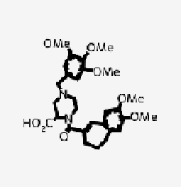 COc1cc2c(cc1OC)CCCC(C(=O)N1CCN(Cc3cc(OC)c(OC)c(OC)c3)CC1C(=O)O)=C2